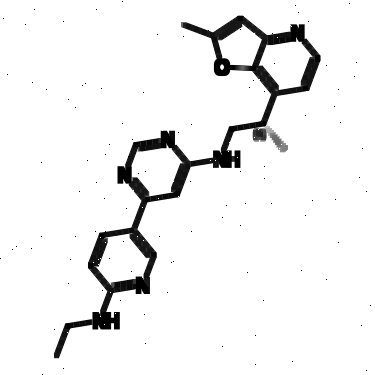 CCNc1ccc(-c2cc(NC[C@@H](C)c3ccnc4cc(C)oc34)ncn2)cn1